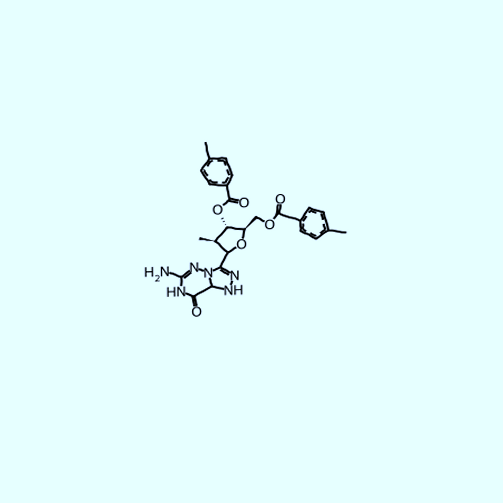 Cc1ccc(C(=O)OC[C@H]2OC(C3=NNC4C(=O)NC(N)=NN34)[C@@H](C)[C@@H]2OC(=O)c2ccc(C)cc2)cc1